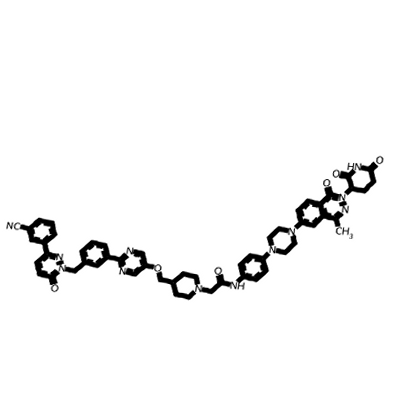 Cc1nn(C2CCC(=O)NC2=O)c(=O)c2ccc(N3CCN(c4ccc(NC(=O)CN5CCC(COc6cnc(-c7cccc(Cn8nc(-c9cccc(C#N)c9)ccc8=O)c7)nc6)CC5)cc4)CC3)cc12